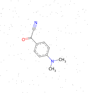 CN(C)c1ccc(C(=O)C#N)cc1